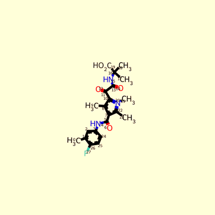 Cc1cc(NC(=O)c2c(C)c(C(=O)C(=O)NC(C)(C)C(=O)O)n(C)c2C)ccc1F